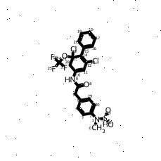 CN(c1ccc(CC(=O)NC2=CC(Cl)=C(c3ccccc3)C(Cl)(OC(F)(F)F)C2)cc1)[SH](=O)=O